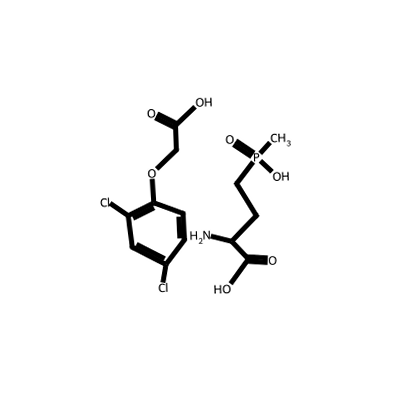 CP(=O)(O)CCC(N)C(=O)O.O=C(O)COc1ccc(Cl)cc1Cl